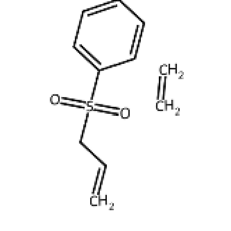 C=C.C=CCS(=O)(=O)c1ccccc1